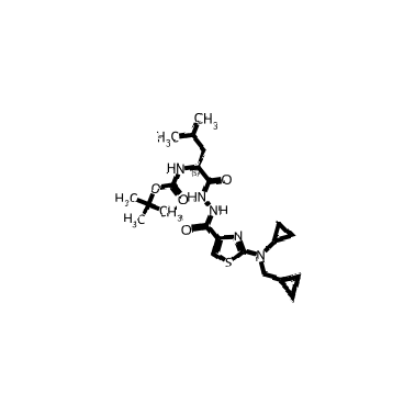 CC(C)C[C@H](NC(=O)OC(C)(C)C)C(=O)NNC(=O)c1csc(N(CC2CC2)C2CC2)n1